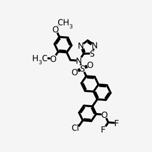 COc1ccc(CN(c2ncns2)S(=O)(=O)c2ccc3c(-c4ccc(Cl)cc4OC(F)F)cccc3c2)c(OC)c1